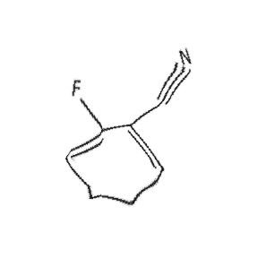 N#CC1=CCCC=C1F